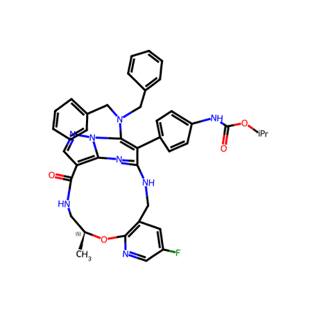 CC(C)OC(=O)Nc1ccc(-c2c3nc4c(cnn4c2N(Cc2ccccc2)Cc2ccccc2)C(=O)NC[C@H](C)Oc2ncc(F)cc2CN3)cc1